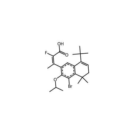 C/C(=C(\F)C(=O)O)c1cc2c(c(Br)c1OC(C)C)C(C)(C)CC=C2C(C)(C)C